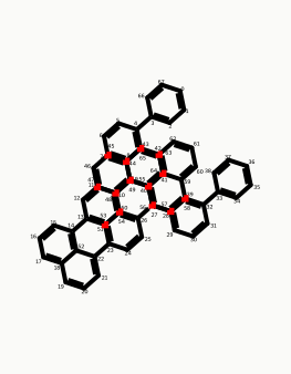 c1ccc(-c2cccc(N(c3ccc(-c4cccc5cccc(-c6ccc(N(c7cccc(-c8ccccc8)c7)c7cccc8ccccc78)cc6)c45)cc3)c3cccc4ccccc34)c2)cc1